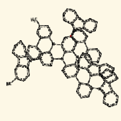 Cc1ccc(N2c3cc(-n4c5ccccc5c5cc(C#N)ccc54)ccc3B3c4ccc(-c5cccc(-n6c7ccccc7c7ccccc76)c5-n5c6ccccc6c6ccccc65)cc4N(c4ccccc4-c4ccccc4)c4cc(-n5c6ccccc6c6ccccc65)cc2c43)c(-c2ccccc2)c1